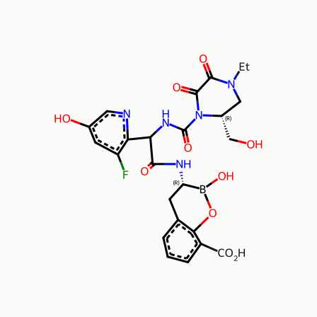 CCN1C[C@H](CO)N(C(=O)NC(C(=O)N[C@H]2Cc3cccc(C(=O)O)c3OB2O)c2ncc(O)cc2F)C(=O)C1=O